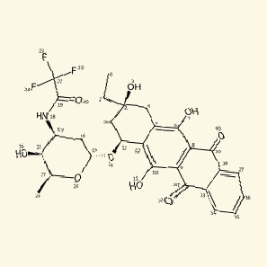 CC[C@]1(O)Cc2c(O)c3c(c(O)c2[C@@H](O[C@H]2C[C@H](NC(=O)C(F)(F)F)[C@H](O)[C@H](C)O2)C1)C(=O)c1ccccc1C3=O